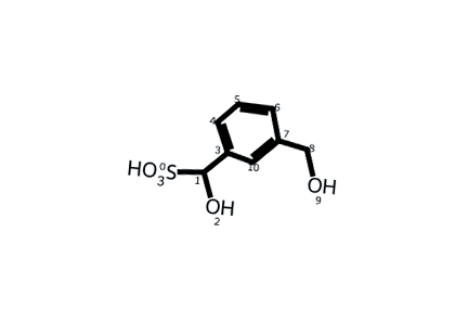 O=S(=O)(O)C(O)c1cccc(CO)c1